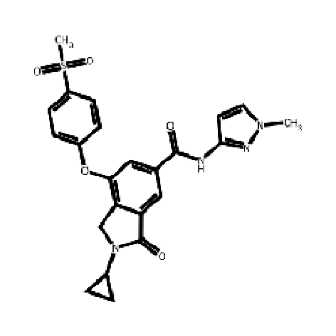 Cn1ccc(NC(=O)c2cc(Oc3ccc(S(C)(=O)=O)cc3)c3c(c2)C(=O)N(C2CC2)C3)n1